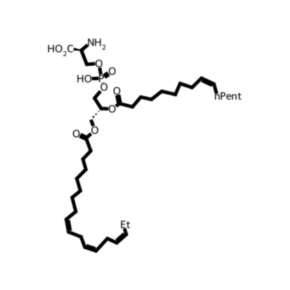 CC/C=C\C/C=C\C/C=C\CCCCCCCC(=O)OC[C@H](COP(=O)(O)OC[C@H](N)C(=O)O)OC(=O)CCCCCCC/C=C\CCCCC